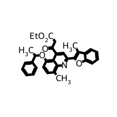 CCOC(=O)CC(=O)c1cc(-c2oc3ccccc3c2C)nc2c(C)ccc(OC(C)c3ccccc3)c12